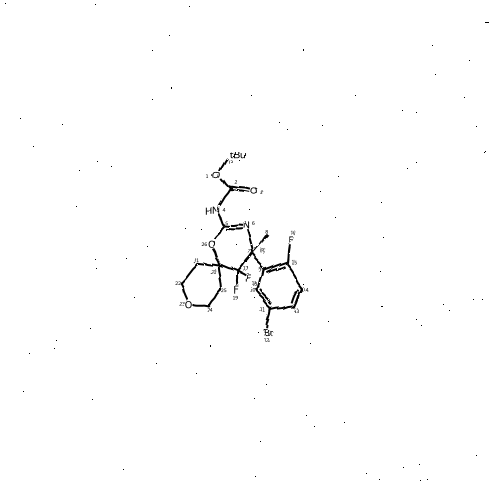 CC(C)(C)OC(=O)NC1=N[C@](C)(c2cc(Br)ccc2F)C(F)(F)C2(CCOCC2)O1